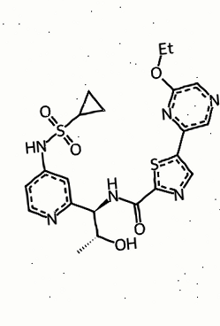 CCOc1cncc(-c2cnc(C(=O)N[C@H](c3cc(NS(=O)(=O)C4CC4)ccn3)[C@@H](C)O)s2)n1